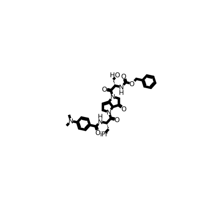 CC(C)C[C@H](NC(=O)c1ccc(N(C)C)cc1)C(=O)N1CC=C2C1C(=O)CN2C(=O)[C@H](CO)NC(=O)OCc1ccccc1